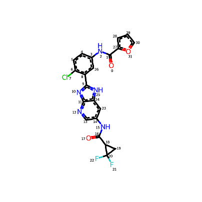 O=C(Nc1ccc(Cl)c(-c2nc3ncc(NC(=O)C4CC4(F)F)cc3[nH]2)c1)c1ccco1